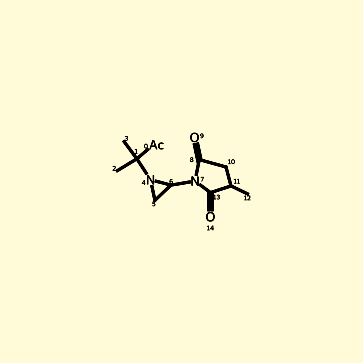 CC(=O)C(C)(C)N1CC1N1C(=O)CC(C)C1=O